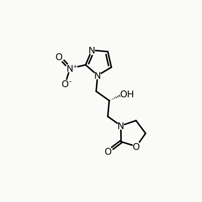 O=C1OCCN1C[C@@H](O)Cn1ccnc1[N+](=O)[O-]